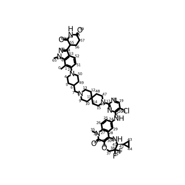 Cc1c(N2CCC(CN3CCC4(CC3)CCN(c3ncc(Cl)c(Nc5ccc6c(c5)c5c(c(=O)n6C)OCC(F)(F)[C@H](C6CC6)N5)n3)CC4)CC2)ccc2c(C3CCC(=O)NC3=O)nn(C)c12